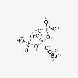 O=P([O-])([O-])OP(=O)([O-])OP(=O)([O-])O.[Ba+2].[Cd+2]